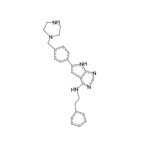 c1ccc(CCNc2ncnc3[nH]c(-c4ccc(CN5CCNCC5)cc4)cc23)cc1